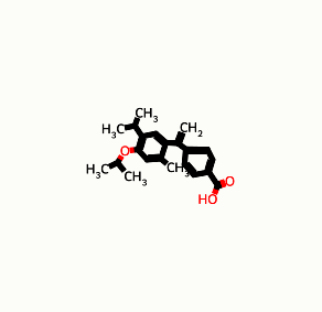 C=C(c1ccc(C(=O)O)cc1)c1cc(C(C)C)c(OC(C)C)cc1C